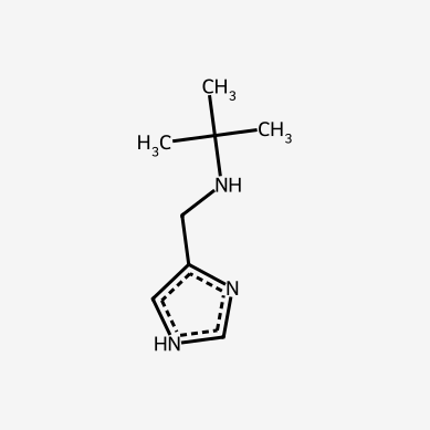 CC(C)(C)NCc1c[nH]cn1